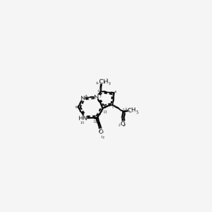 CC(=O)c1cc(C)n2nc[nH]c(=O)c12